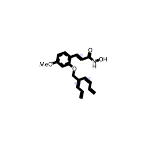 C=C/C=C\C(=C/C=C)COc1cc(OC)ccc1/C=C/C(=O)NO